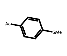 [CH2]C(=O)c1ccc(SC)cc1